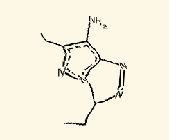 CCC1N=Nc2c(N)c(C)nn21